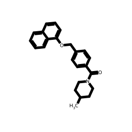 CC1CCN(C(=O)c2ccc(COc3cccc4ccccc34)cc2)CC1